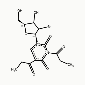 CCC(=O)c1cn([C@H]2O[C@@H](CO)C(O)C2Br)c(=O)n(C(=O)CC)c1=O